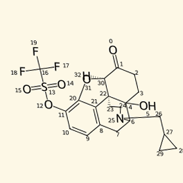 O=C1CCC2(O)C3Cc4ccc(OS(=O)(=O)C(F)(F)F)c5c4[C@@]2(CCN3CC2CC2)[C@H]1O5